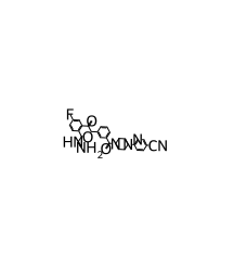 N#Cc1ccc(N2CCN(C(=O)c3cccc(CC(=O)c4cc(F)ccc4C(=O)NN)c3)CC2)nc1